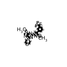 CCn1cnc2c(N3CCOCC3)nc(-n3cc(-c4cccc(C(F)(F)F)c4)c(OC)n3)nc21